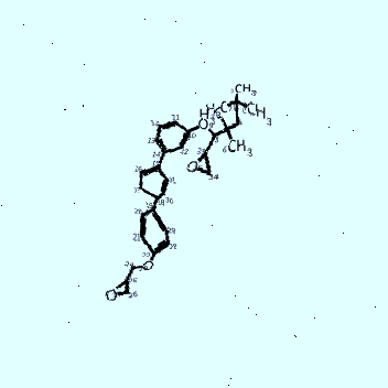 CC(C)(C)CC(C)(C)C(Oc1cccc(C2=CCC(c3ccc(OCC4CO4)cc3)C=C2)c1)C1CO1